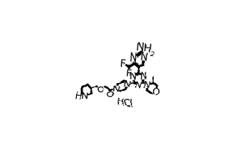 C[C@H]1COCCN1c1nc(-c2cnc(N)nc2C(F)F)nc(N2CCN(C(=O)COC[C@@H]3CCCNC3)CC2)n1.Cl